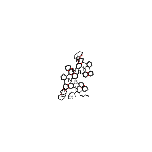 C=C/C=C\C(=C(/C(C)/C=C\CC)N1c2ccccc2B2c3cc4c(cc3N(c3c(-c5ccccc5)cccc3-c3ccccc3)c3cc(N5C6CC7CC5C5CCCC7C5C6)cc1c32)N(c1ccccc1)c1cc(N2C3CC5CC(C3)CC2C5)cc2c1B4c1ccccc1N2c1c(-c2ccccc2)cccc1-c1ccccc1)c1ccccc1